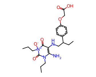 CCCN1C(=O)[N+]([O-])(CCC)C(=O)C(NCC(CC)c2ccc(OCC(=O)O)cc2)=C1N